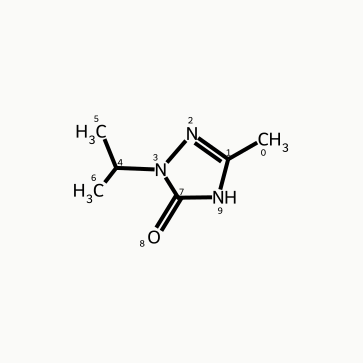 Cc1nn(C(C)C)c(=O)[nH]1